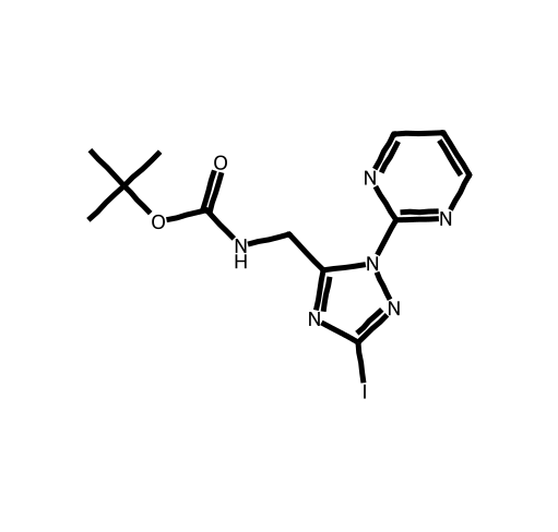 CC(C)(C)OC(=O)NCc1nc(I)nn1-c1ncccn1